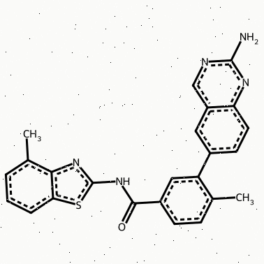 Cc1ccc(C(=O)Nc2nc3c(C)cccc3s2)cc1-c1ccc2nc(N)ncc2c1